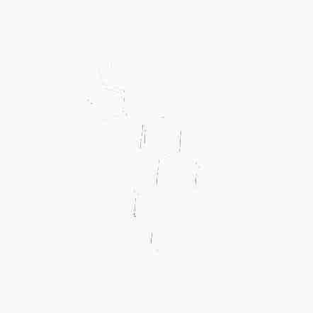 CC(=O)N1c2ccc(-n3cnc(C(=O)O)c3)cc2C(NC(=O)OC(C)C)CC1C